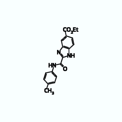 CCOC(=O)c1ccc2[nH]c(C(=O)Nc3ccc(C)cc3)nc2c1